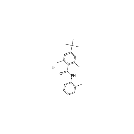 Cc1ccccc1PC(=O)c1c(C)cc(C(C)(C)C)cc1C.[Li]